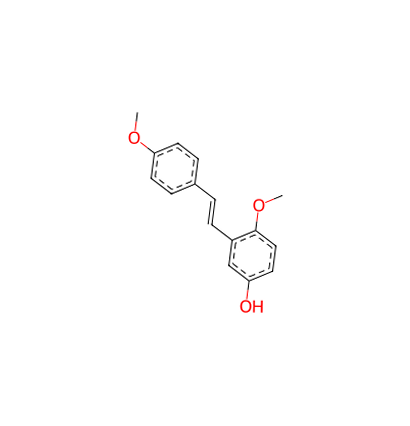 COc1ccc(/C=C/c2cc(O)ccc2OC)cc1